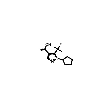 O=C(O)c1cnn(C2CCCC2)c1C(F)(F)F